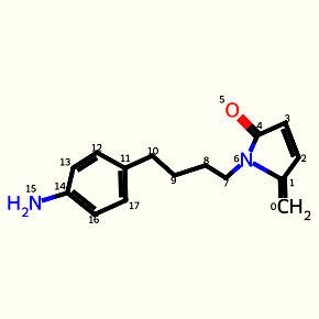 C=C1C=CC(=O)N1CCCCc1ccc(N)cc1